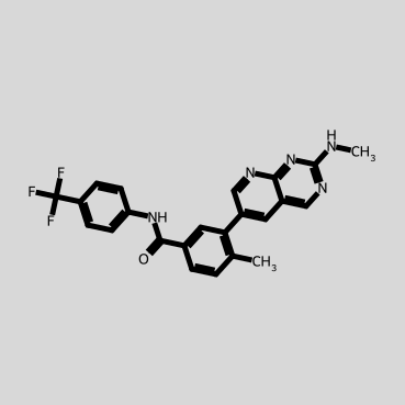 CNc1ncc2cc(-c3cc(C(=O)Nc4ccc(C(F)(F)F)cc4)ccc3C)cnc2n1